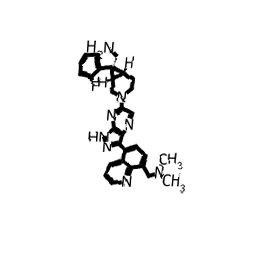 CN(C)Cc1ccc(-c2n[nH]c3nc(N4CC[C@@H]5[C@H](C4)[C@@]5(CN)c4ccccc4F)cnc23)c2cccnc12